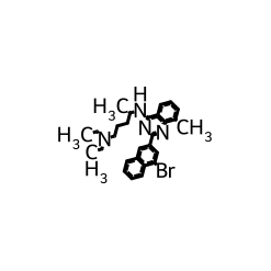 CCN(CC)CCCC(C)Nc1nc(-c2cc(Br)c3ccccc3c2)nc2c(C)cccc12